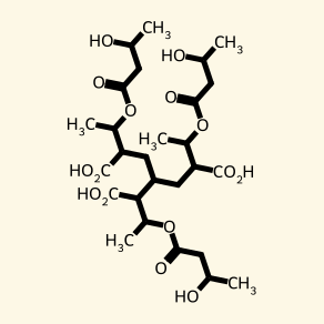 CC(O)CC(=O)OC(C)C(CC(CC(C(=O)O)C(C)OC(=O)CC(C)O)C(C(=O)O)C(C)OC(=O)CC(C)O)C(=O)O